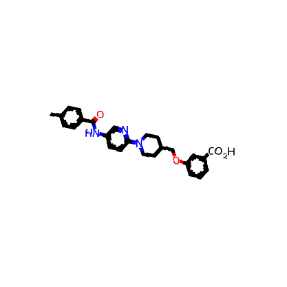 Cc1ccc(C(=O)Nc2ccc(N3CCC(COc4cccc(C(=O)O)c4)CC3)nc2)cc1